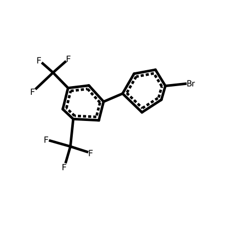 FC(F)(F)c1cc(-c2ccc(Br)cc2)cc(C(F)(F)F)c1